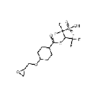 O=C(OC(C(F)(F)F)C(F)(F)S(=O)(=O)O)C1CCC(OCC2CO2)CC1